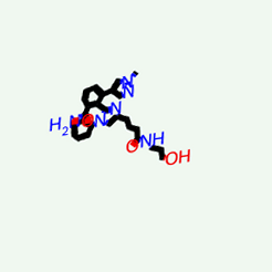 Cn1cc(-c2cccc(C(N)=O)c2-c2nc(CCCC(=O)NCCCO)cn2-c2ccccc2)cn1